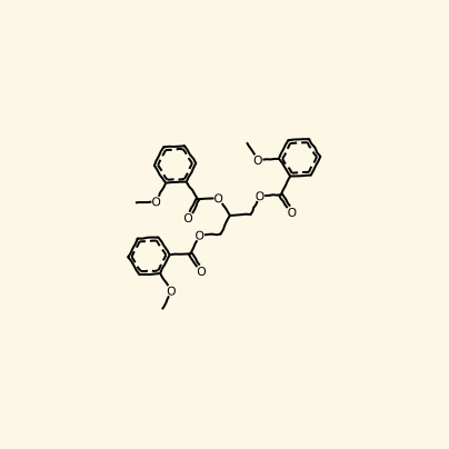 COc1ccccc1C(=O)OCC(COC(=O)c1ccccc1OC)OC(=O)c1ccccc1OC